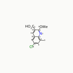 COc1nc2c(C)cc(Cl)cc2cc1C(=O)O